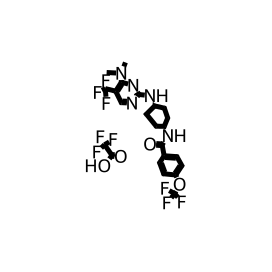 CN(C)c1nc(N[C@H]2CC[C@@H](NC(=O)c3ccc(OC(F)(F)F)cc3)CC2)ncc1C(F)(F)F.O=C(O)C(F)(F)F